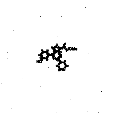 COCC(C)n1cnc2c(-c3cccc(O)c3)nc(N3CCOCC3)nc21